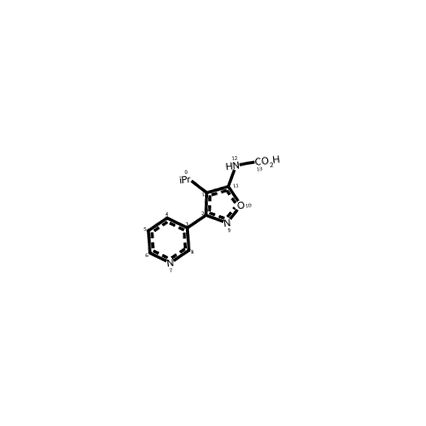 CC(C)c1c(-c2cccnc2)noc1NC(=O)O